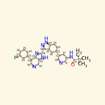 CC(C)(C)C(=O)Nc1cncc(-c2ccc3[nH]nc(-c4nc5c(-c6cccc(F)c6)cncc5[nH]4)c3c2)c1